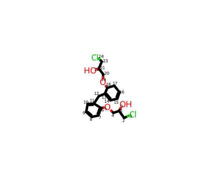 OC(CCl)COc1ccccc1CC1=CC=CCC1OCC(O)CCl